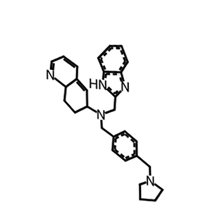 C1=CC2=CC(N(Cc3ccc(CN4CCCC4)cc3)Cc3nc4ccccc4[nH]3)CCC2N=C1